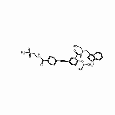 CC(C)Oc1ccc(C#Cc2ccc(C(=O)NCCS(N)(=O)=O)cc2)cc1C(=O)N[C@@H](CO)Cc1c[nH]c2ccccc12